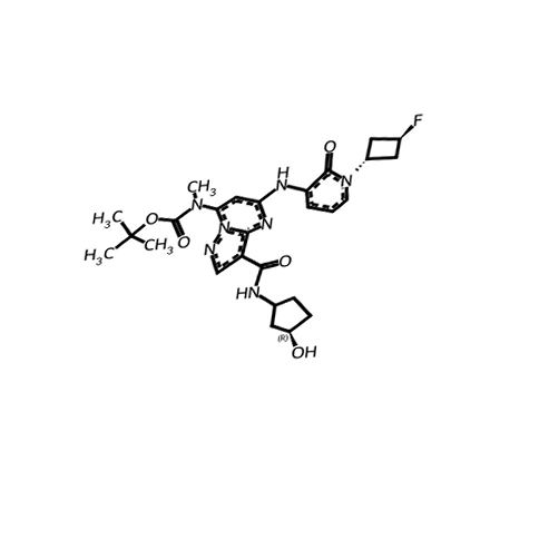 CN(C(=O)OC(C)(C)C)c1cc(Nc2cccn([C@H]3C[C@H](F)C3)c2=O)nc2c(C(=O)NC3CC[C@@H](O)C3)cnn12